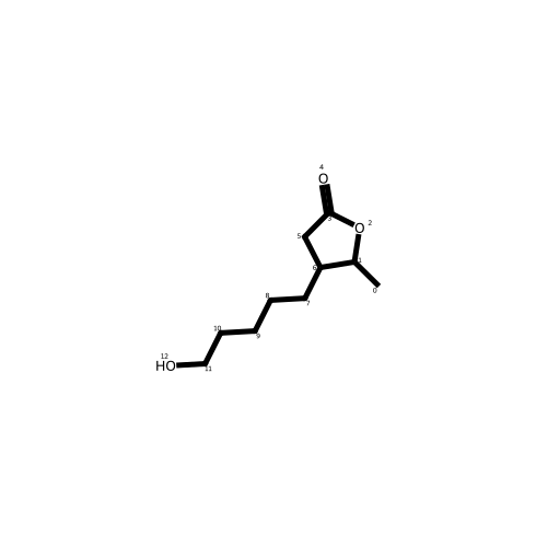 CC1OC(=O)CC1CCCCCO